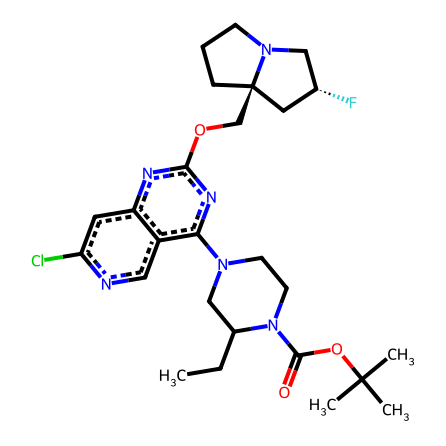 CCC1CN(c2nc(OC[C@@]34CCCN3C[C@H](F)C4)nc3cc(Cl)ncc23)CCN1C(=O)OC(C)(C)C